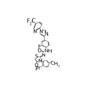 Cc1ccc(C(C)C)c(N2C(=O)CSC2=NC(=O)Nc2ccc(-c3cn(-c4ccc(C(F)(F)F)cn4)cn3)cc2F)c1